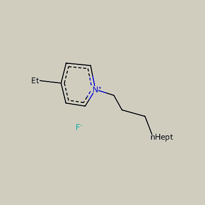 CCCCCCCCCC[n+]1ccc(CC)cc1.[F-]